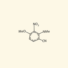 CNc1c(C#N)ccc(OC)c1[N+](=O)[O-]